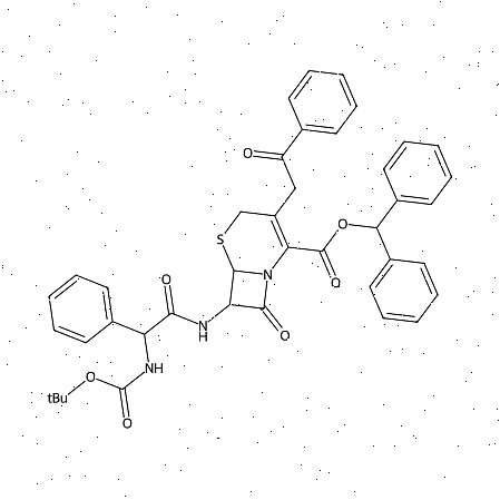 CC(C)(C)OC(=O)NC(C(=O)NC1C(=O)N2C(C(=O)OC(c3ccccc3)c3ccccc3)=C(CC(=O)c3ccccc3)CSC12)c1ccccc1